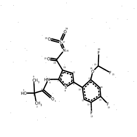 CC(C)(O)C(=O)Nc1sc(-c2cc(F)c(F)cc2OC(F)F)cc1C(=O)N=S(=O)=O